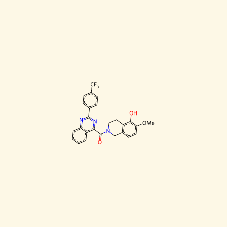 COc1ccc2c(c1O)CCN(C(=O)c1nc(-c3ccc(C(F)(F)F)cc3)nc3ccccc13)C2